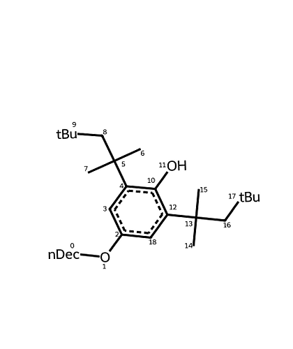 CCCCCCCCCCOc1cc(C(C)(C)CC(C)(C)C)c(O)c(C(C)(C)CC(C)(C)C)c1